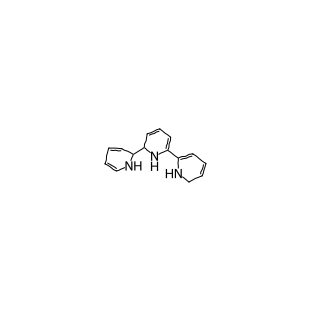 C1=CCNC(C2=CC=CC(C3C=CC=CN3)N2)=C1